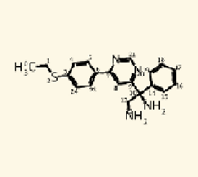 CCSc1ccc(-c2cc(C(N)(CN)c3ccccc3)ncn2)cc1